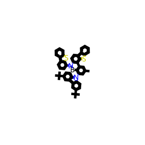 Cc1cc2c3c(c1)-n1c4ccc(C(C)(C)C)cc4c4cc(C(C)(C)C)cc(c41)B3N(c1cccc3c1sc1ccccc13)c1ccc3c(sc4ccccc43)c1-2